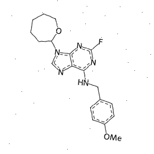 COc1ccc(CNc2nc(F)nc3c2ncn3C2CCCCCO2)cc1